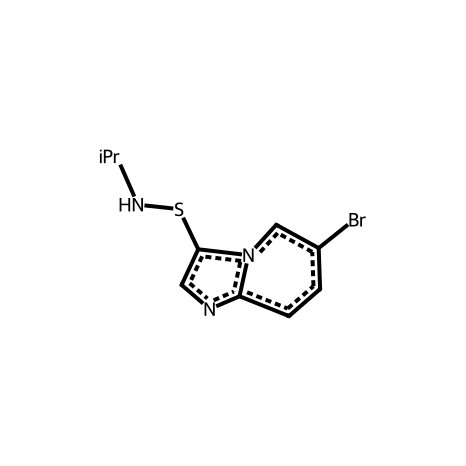 CC(C)NSc1cnc2ccc(Br)cn12